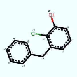 Oc1cccc(Cc2ccccc2)c1Cl